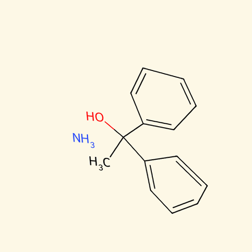 CC(O)(c1ccccc1)c1ccccc1.N